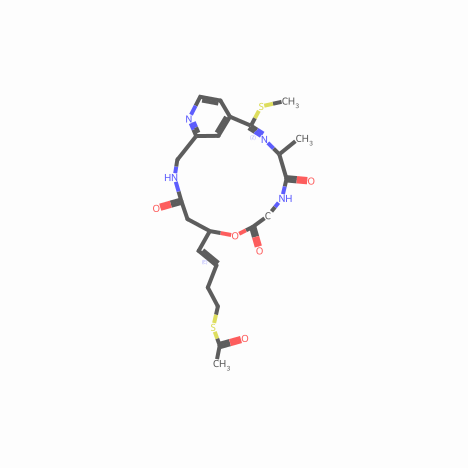 CS/C1=N\C(C)C(=O)NCC(=O)OC(/C=C/CCSC(C)=O)CC(=O)NCc2cc1ccn2